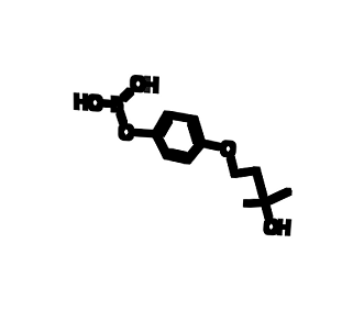 CC(C)(O)CCOc1ccc(OB(O)O)cc1